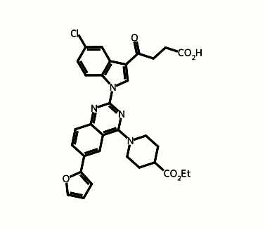 CCOC(=O)C1CCN(c2nc(-n3cc(C(=O)CCC(=O)O)c4cc(Cl)ccc43)nc3ccc(-c4ccco4)cc23)CC1